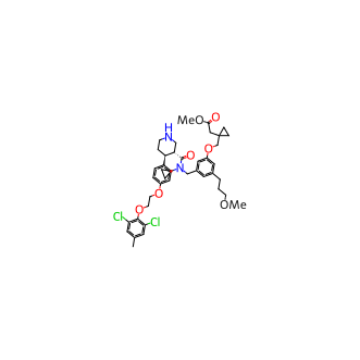 COCCCc1cc(CN(C(=O)[C@H]2CNCC[C@@H]2c2ccc(OCCOc3c(Cl)cc(C)cc3Cl)cc2)C2CC2)cc(OCC2(CC(=O)OC)CC2)c1